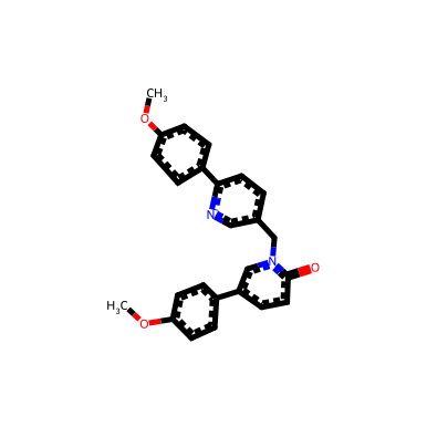 COc1ccc(-c2ccc(=O)n(Cc3ccc(-c4ccc(OC)cc4)nc3)c2)cc1